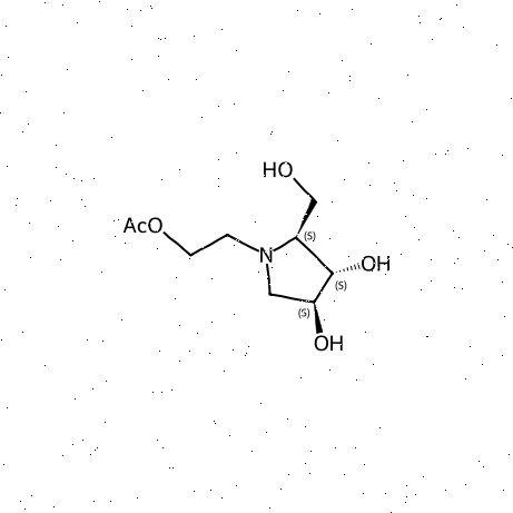 CC(=O)OCCN1C[C@H](O)[C@@H](O)[C@@H]1CO